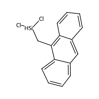 Cl[SiH](Cl)Cc1c2ccccc2cc2ccccc12